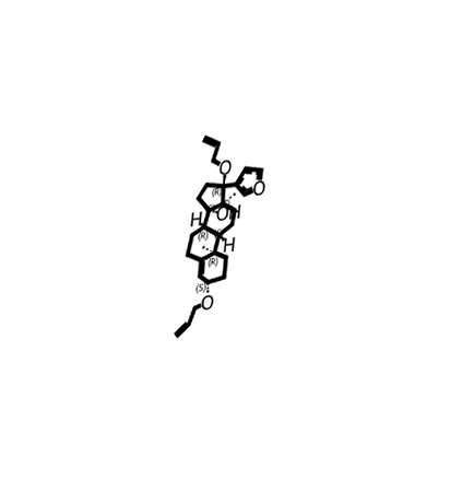 C=CCO[C@@H]1C=C2CC[C@@H]3[C@H](CC[C@]4(C)[C@@](OCC=C)(c5ccoc5)CC[C@]34O)[C@@]2(C)CC1